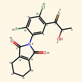 CC(O)C(=S)c1cc(N2C(=O)C3=C(CCCC3)C2=O)c(F)cc1Cl